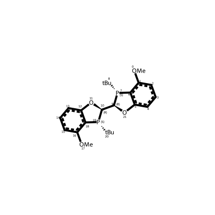 COc1cccc2c1[P@@](C(C)(C)C)[C@H]([C@@H]1Oc3cccc(OC)c3[P@@]1C(C)(C)C)O2